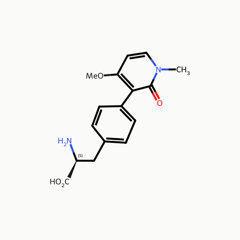 COc1ccn(C)c(=O)c1-c1ccc(C[C@H](N)C(=O)O)cc1